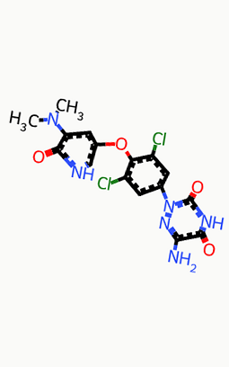 CN(C)c1cc(Oc2c(Cl)cc(-n3nc(N)c(=O)[nH]c3=O)cc2Cl)c[nH]c1=O